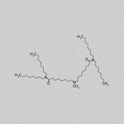 CCCCCCCCN(CCCCCCCC)C(=O)CCCCCCCN(C)CCCCCCCC(=O)N(CCCCCCCC)CCCCCCCC